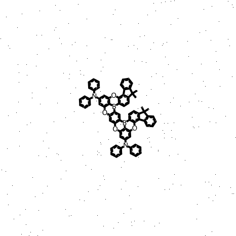 CC1(C)c2ccccc2-c2c1ccc1c2Oc2cc(N(c3ccccc3)c3ccccc3)cc3c2B1c1cc2c(cc1O3)Oc1cc(N(c3ccccc3)c3ccccc3)cc3c1B2c1ccc2c(c1O3)-c1ccccc1C2(C)C